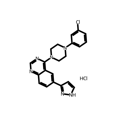 Cl.Clc1cccc(N2CCN(c3ncnc4ccc(-c5cc[nH]n5)cc34)CC2)c1